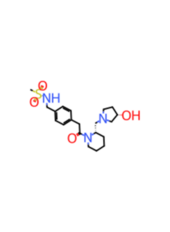 CS(=O)(=O)NCc1ccc(CC(=O)N2CCCC[C@H]2CN2CC[C@H](O)C2)cc1